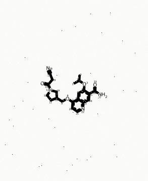 CC(C)Oc1cc2c(OCC3CCN(C(=O)CC#N)C3)ccnc2cc1C(N)=O